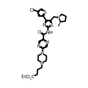 CCOC(=O)CCCN1CCN(c2cnc(C(=O)Nc3nc(-c4cc(Cl)cs4)c(CN4CCC[C@H]4C)s3)cn2)CC1